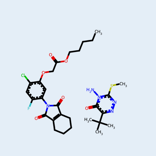 CCCCCOC(=O)COc1cc(N2C(=O)C3=C(CCCC3)C2=O)c(F)cc1Cl.CSc1nnc(C(C)(C)C)c(=O)n1N